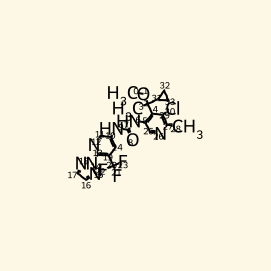 COC(C)(c1c(NC(=O)Nc2cnc(-n3nccn3)c(C(F)(F)F)c2)cnc(C)c1Cl)C1CC1